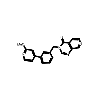 COc1cc(-c2cccc(Cn3cnc4cnccc4c3=O)c2)ccn1